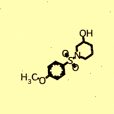 COc1ccc(S(=O)(=O)N2CCCC(O)C2)cc1